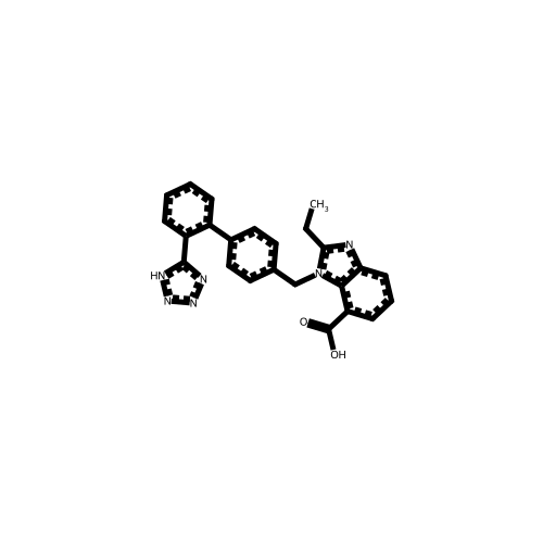 CCc1nc2cccc(C(=O)O)c2n1Cc1ccc(-c2ccccc2-c2nnn[nH]2)cc1